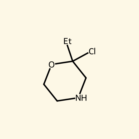 CCC1(Cl)CNCCO1